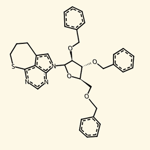 c1ccc(COC[C@H]2OC(n3cc4c5c(ncnc53)SCCC4)[C@@H](OCc3ccccc3)[C@@H]2OCc2ccccc2)cc1